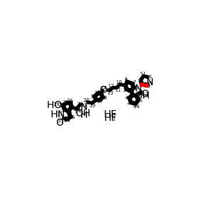 F.F.O=C(O)N(c1ccc(CCCCOc2ccc(CCNC[C@H](O)c3ccc(O)c4[nH]c(=O)ccc34)cc2)cc1-c1ccccc1)C1CN2CCC1CC2